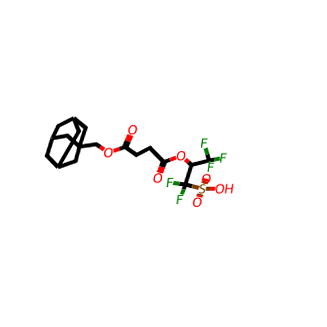 O=C(CCC(=O)OC(C(F)(F)F)C(F)(F)S(=O)(=O)O)OCC12CC3CC(CC(C3)C1)C2